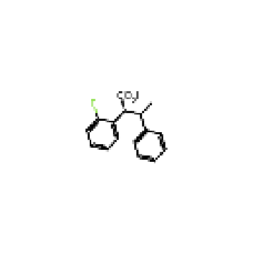 CC(c1ccccc1)[C@H](C(=O)O)c1ccccc1F